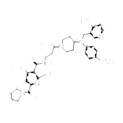 COc1ccc(N(Cc2cnccc2C)C2CCN([C@H](C)CCNC(=O)c3c(C)cc(C(=O)N4CCCC4)nc3C)CC2)cc1